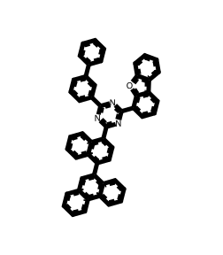 c1ccc(-c2cccc(-c3nc(-c4ccc(-c5cc6ccccc6c6ccccc56)c5ccccc45)nc(-c4cccc5c4oc4ccccc45)n3)c2)cc1